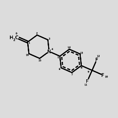 C=C1CCN(c2ccc(C(F)(F)F)cc2)CC1